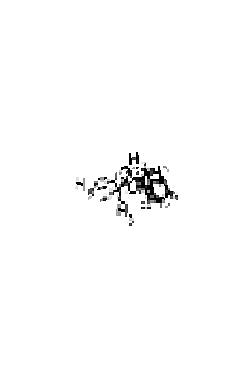 CCC(C)(I)C(=O)OC1(C)C2CC3CC(C2)CC1C3